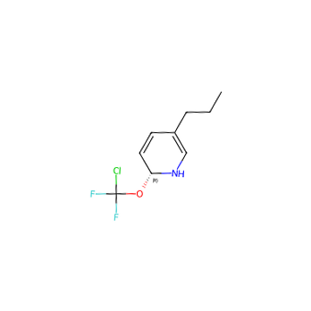 CCCC1=CN[C@H](OC(F)(F)Cl)C=C1